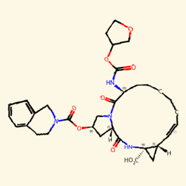 O=C(N[C@H]1CCCCC/C=C\[C@@H]2C[C@@]2(C(=O)O)NC(=O)[C@@H]2C[C@@H](OC(=O)N3CCc4ccccc4C3)CN2C1=O)OC1CCOC1